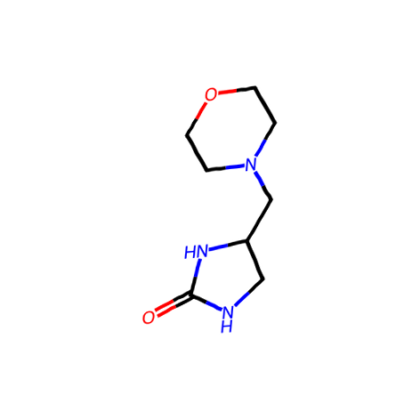 O=C1NCC(CN2CCOCC2)N1